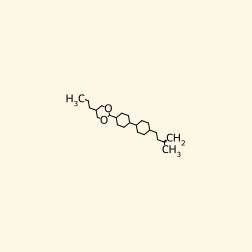 C=C(C)CCC1CCC(C2CCC(C3OCC(CCC)CO3)CC2)CC1